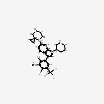 Oc1c(F)c(-c2nn(C3CCCOC3)c3nc(N4CCOCC45CC5)ccc23)cc(C(F)(F)F)c1F